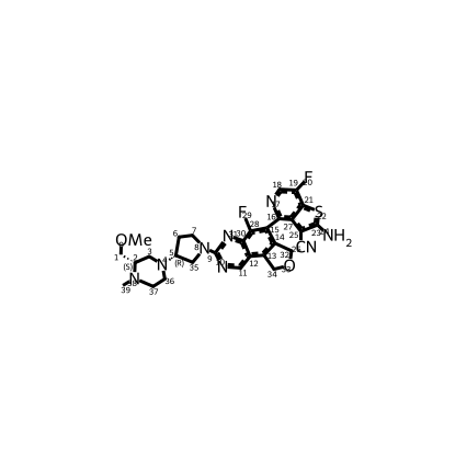 COC[C@@H]1CN([C@@H]2CCN(c3ncc4c5c(c(-c6ncc(F)c7sc(N)c(C#N)c67)c(F)c4n3)COC5)C2)CCN1C